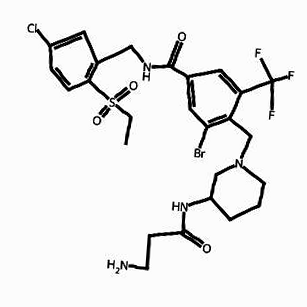 CCS(=O)(=O)c1ccc(Cl)cc1CNC(=O)c1cc(Br)c(CN2CCCC(NC(=O)CCN)C2)c(C(F)(F)F)c1